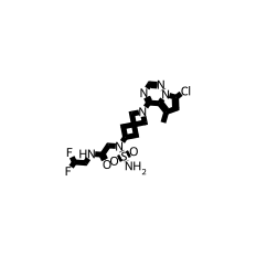 Cc1cc(Cl)n2ncnc(N3CC4(CC(N(CC(=O)NCC(F)F)S(N)(=O)=O)C4)C3)c12